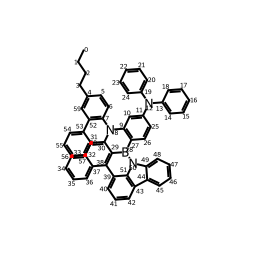 CCCCc1ccc(N2c3cc(N(c4ccccc4)c4ccccc4)ccc3B3c4c2cc2ccccc2c4-c2cccc4c5ccccc5n3c24)c(-c2ccccc2)c1